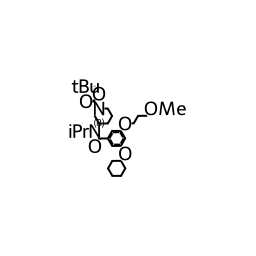 COCCCOc1cc(OC2CCCCC2)cc(C(=O)N(C(C)C)[C@@H]2CCCN(C(=O)OC(C)(C)C)C2)c1